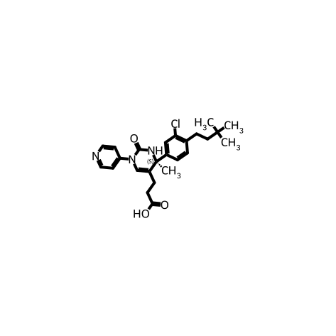 CC(C)(C)CCc1ccc([C@]2(C)NC(=O)N(c3ccncc3)C=C2CCC(=O)O)cc1Cl